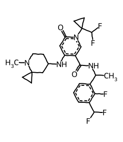 CC(NC(=O)c1cn(C2(C(F)F)CC2)c(=O)cc1NC1CCN(C)C2(CC2)C1)c1cccc(C(F)F)c1F